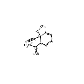 COC1(C#N)C=CC=CC1C(=N)N